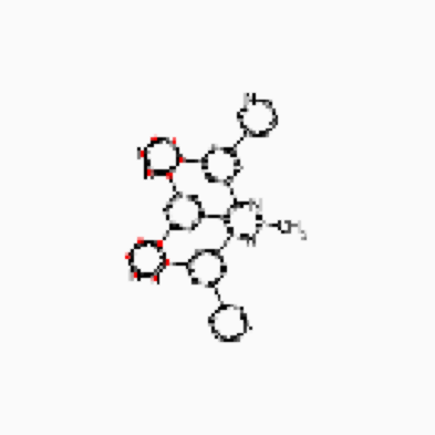 Cc1nc(-c2cc(-c3cccnc3)cc(-c3cccnc3)c2)c(-c2cc(-c3cccnc3)cc(-c3cccnc3)c2)c(-c2cc(-c3cccnc3)cc(-c3cccnc3)c2)n1